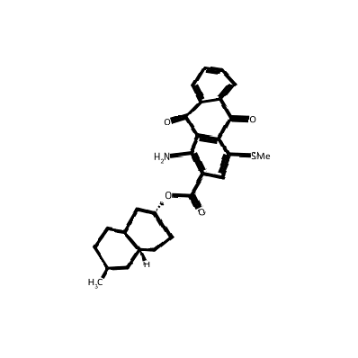 CSc1cc(C(=O)O[C@@H]2CC[C@@H]3CC(C)CCC3C2)c(N)c2c1C(=O)c1ccccc1C2=O